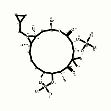 CC[Si](CC)(CC)OC1[C@@H](C)CCC[C@]2(C)[C@H](C[C@@H](C(C)=O)OC(=O)C[C@H](O[Si](CC)(CC)CC)C(C)(C)C(=O)[C@@H]1C)N2CC1CC1